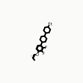 C/C=C\Oc1ccc(C2CCC(C3CCC(CC)CC3)CC2)c(F)c1F